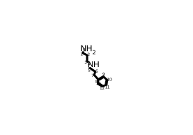 NCCCNCCCc1ccccc1